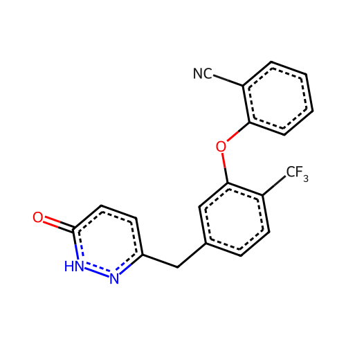 N#Cc1ccccc1Oc1cc(Cc2ccc(=O)[nH]n2)ccc1C(F)(F)F